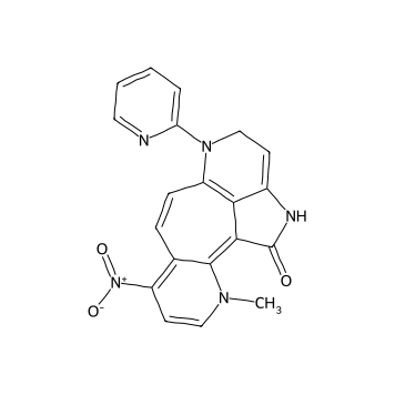 CN1C=CC([N+](=O)[O-])=c2ccc3c4c([nH]c(=O)c-4c21)=CCN3c1ccccn1